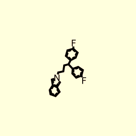 Fc1ccc(C(CCCn2cc3ccccc3c2)c2ccc(F)cc2)cc1